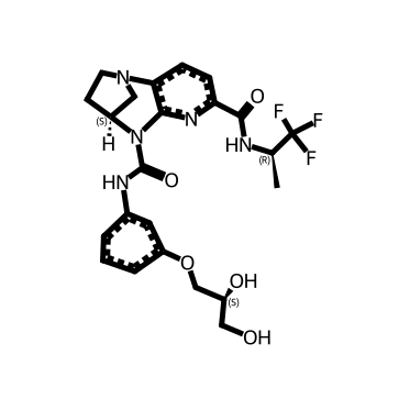 C[C@@H](NC(=O)c1ccc2c(n1)N(C(=O)Nc1cccc(OC[C@@H](O)CO)c1)[C@H]1CCN2C1)C(F)(F)F